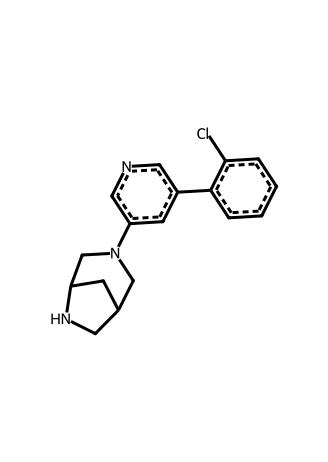 Clc1ccccc1-c1cncc(N2CC3CNC(C3)C2)c1